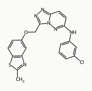 Cc1nc2cc(OCc3nnc4ccc(Nc5cccc(Cl)c5)nn34)ccc2s1